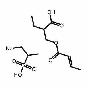 CC([CH2][Na])S(=O)(=O)O.CC=CC(=O)OCC(CC)C(=O)O